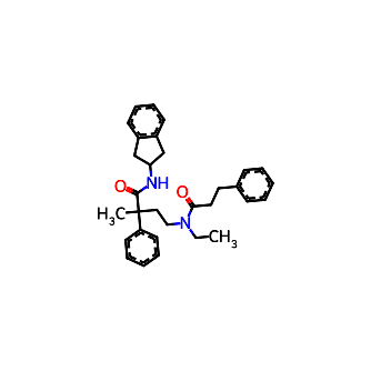 CCN(CCC(C)(C(=O)NC1Cc2ccccc2C1)c1ccccc1)C(=O)CCc1ccccc1